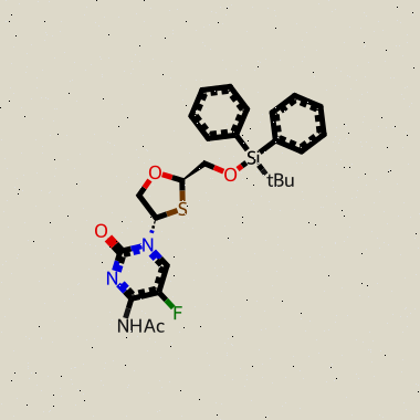 CC(=O)Nc1nc(=O)n([C@@H]2CO[C@@H](CO[Si](c3ccccc3)(c3ccccc3)C(C)(C)C)S2)cc1F